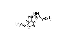 C=CCSC(=N)Nc1cccc(CN)c1